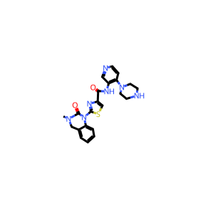 CN1Cc2ccccc2N(c2nc(C(=O)Nc3cnccc3N3CCNCC3)cs2)C1=O